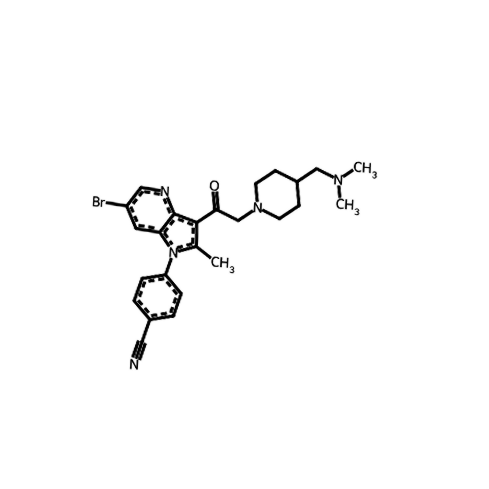 Cc1c(C(=O)CN2CCC(CN(C)C)CC2)c2ncc(Br)cc2n1-c1ccc(C#N)cc1